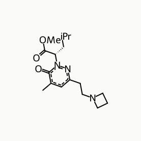 COC(=O)[C@H](CC(C)C)n1nc(CCN2CCC2)cc(C)c1=O